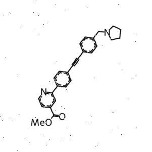 COC(=O)c1ccnc(-c2ccc(C#Cc3ccc(CN4CCCC4)cc3)cc2)c1